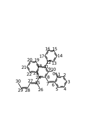 C=c1cccc/c1=C/c1c(C)c(-c2ccccc2)c2ccccc2c1/C(C)=C/C=C\C